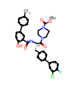 CC(C)(C)OC(=O)N1CCN(C(=O)[C@H](Cc2ccc(-c3ccc(F)c(Cl)c3)cc2)NC(=O)c2cc(-c3ccc(C(F)(F)F)cc3)ccc2O)CC1